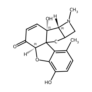 Cc1ccc(O)c2c1C13CC4CN(C)[C@H]4[C@]1(O)C=CC(=O)[C@@H]3O2